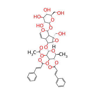 CC(=O)O[C@H]1[C@H](O[C@H]2C3C=COC(O[C@@H]4O[C@H](CO)[C@@H](O)[C@H](O)[C@H]4O)C3[C@@]3(CO)O[C@@H]23)O[C@@H](C)[C@H](OC(=O)/C=C/c2ccccc2)[C@H]1OC(=O)/C=C/c1ccccc1